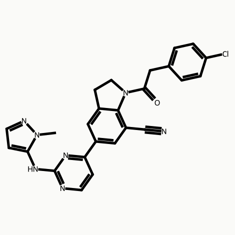 Cn1nccc1Nc1nccc(-c2cc(C#N)c3c(c2)CCN3C(=O)Cc2ccc(Cl)cc2)n1